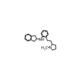 CN1CCCC1CCc1ccccc1NC1Cc2ccccc2C1